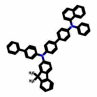 CC1(C)c2ccc#cc2-c2ccc(N(c3c#cc(-c4ccccc4)cc3)c3ccc(-c4ccc(N(c5ccccc5)c5cccc6ccccc56)cc4)cc3)cc21